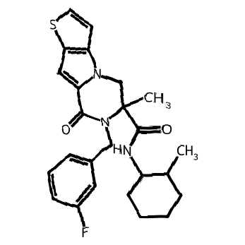 CC1CCCCC1NC(=O)C1(C)Cn2c(cc3sccc32)C(=O)N1Cc1cccc(F)c1